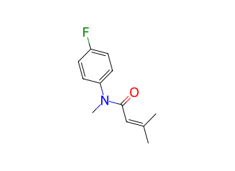 CC(C)=CC(=O)N(C)c1ccc(F)cc1